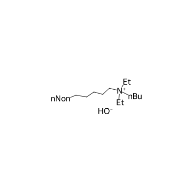 CCCCCCCCCCCCCC[N+](CC)(CC)CCCC.[OH-]